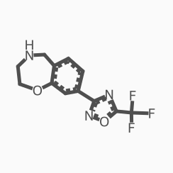 FC(F)(F)c1nc(-c2ccc3c(c2)OCCNC3)no1